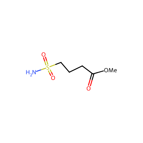 COC(=O)CCCS(N)(=O)=O